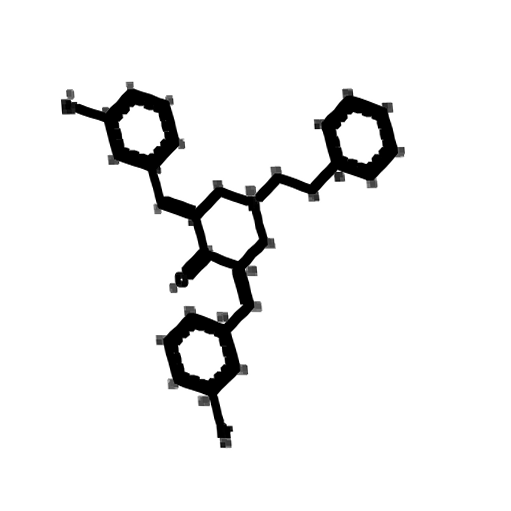 O=C1C(=Cc2cccc(Br)c2)CN(CCc2ccccc2)CC1=Cc1cccc(Br)c1